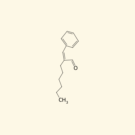 CCCCCC/C(C=O)=C/c1ccccc1